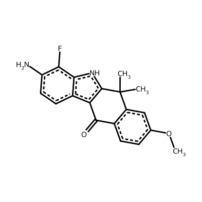 COc1ccc2c(c1)C(C)(C)c1[nH]c3c(F)c(N)ccc3c1C2=O